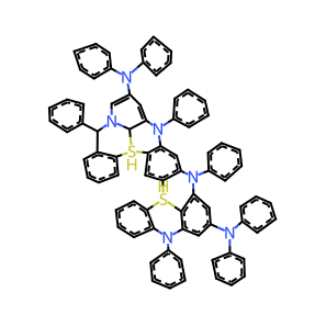 C1=C(N(c2ccccc2)c2ccccc2)C=C2C3N1C(c1ccccc1)c1ccccc1[SH]3c1cc3c(cc1N2c1ccccc1)N(c1ccccc1)c1cc(N(c2ccccc2)c2ccccc2)cc2c1[SH]3c1ccccc1N2c1ccccc1